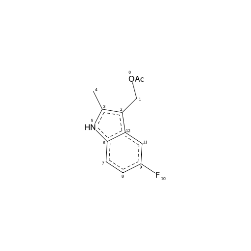 CC(=O)OCc1c(C)[nH]c2ccc(F)cc12